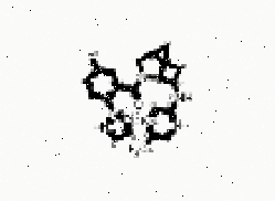 O=C(c1cc(F)ccc1-n1nccn1)N1CC2CC23CC(Nc2cnc(C(F)(F)F)cn2)C13